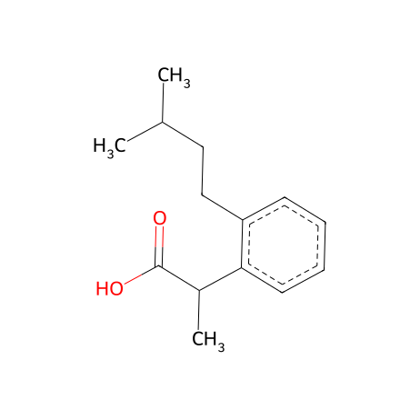 CC(C)CCc1ccccc1C(C)C(=O)O